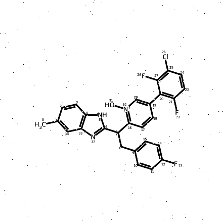 Cc1ccc2[nH]c(C(Cc3ccc(F)cc3)c3ccc(-c4c(F)ccc(Cl)c4F)c[n+]3O)nc2c1